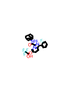 O=C(NC12CC3CC(CC(C3)C1)C2)c1nc(-c2ccccc2F)c2ccccn12.O=C(O)C(F)(F)F